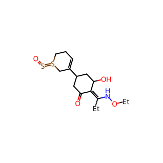 CCONC(CC)=C1C(=O)CC(C2=CCCS(=S=O)C2)CC1O